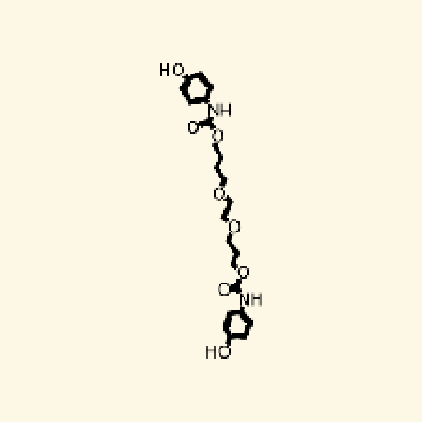 O=C(Nc1ccc(O)cc1)OCCCCOCCOCCCOC(=O)Nc1ccc(O)cc1